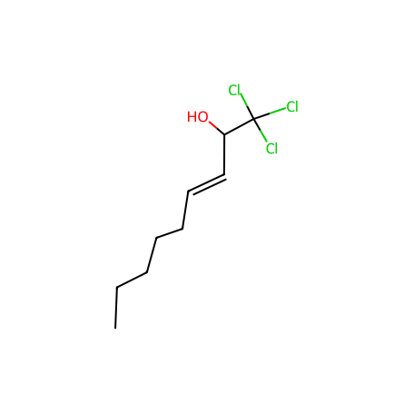 CCCCC/C=C/C(O)C(Cl)(Cl)Cl